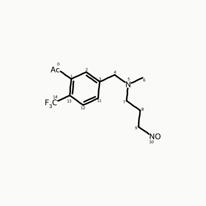 CC(=O)c1cc(CN(C)CCCN=O)ccc1C(F)(F)F